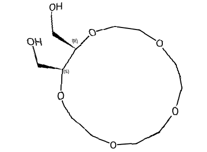 OC[C@@H]1OCCOCCOCCOCCO[C@@H]1CO